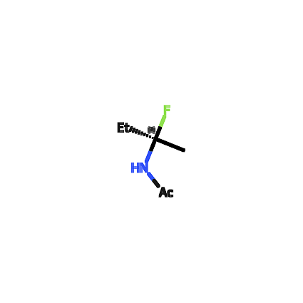 CC[C@@](C)(F)NC(C)=O